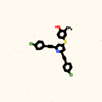 Cc1cc(Sc2cc(C#Cc3ccc(Cl)cc3)nc(C#Cc3ccc(Cl)cc3)c2)ccc1O